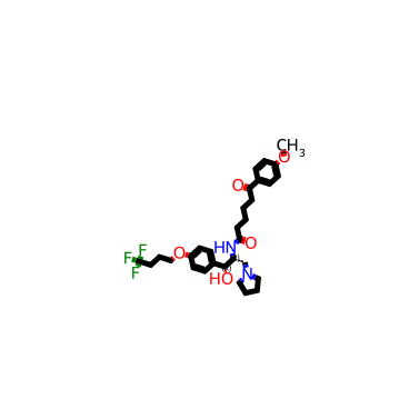 COc1ccc(C(=O)CCCCC(=O)N[C@H](CN2CCCC2)[C@H](O)c2ccc(OCCCC(F)(F)F)cc2)cc1